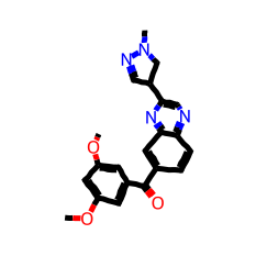 COc1cc(OC)cc(C(=O)c2ccc3ncc(C4C=NN(C)C4)nc3c2)c1